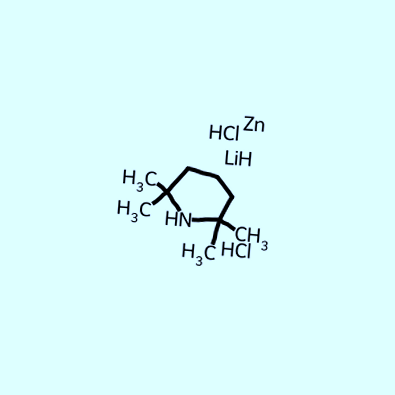 CC1(C)CCCC(C)(C)N1.Cl.Cl.[LiH].[Zn]